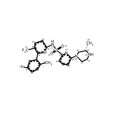 Cc1ccc(F)cc1-c1nc(NS(=O)(=O)c2cccc(N3CCN[C@@H](C)C3)n2)ccc1C(F)(F)F